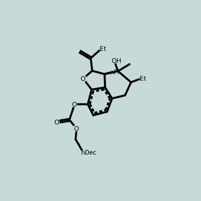 C=C(CC)C1Oc2c(OC(=O)OCCCCCCCCCCC)ccc3c2C1(CCC)C(C)(O)C(CC)C3